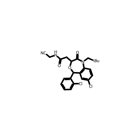 CC(C)(C)CN1C(=O)C(CC(=O)NCC#N)OC(c2ccccc2Cl)c2cc(Cl)ccc21